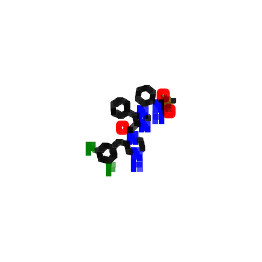 CS(=O)(=O)N[C@H]1CCCC[C@@H]1n1cnc(C(=O)N2CCNCC2Cc2cc(F)cc(F)c2)c1-c1ccccc1